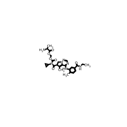 CCNC(=O)c1ccc(C)c(NC2=NC=NN3CC(C(=O)N(C(=O)OCOC(=O)C(C)N)C4CC4)C(C)=C23)c1